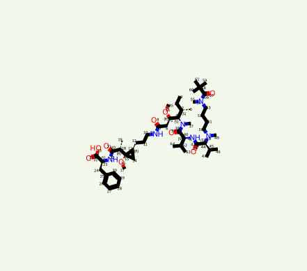 CC[C@H](C)[C@@H]([C@@H](CC(=O)NCCC[C@@H]1C[C@@]1(OC)[C@@H](C)C(=O)N[C@@H](Cc1ccccc1)C(=O)O)OC)N(C)C(=O)[C@@H](NC(=O)[C@H](C(C)C)N(C)CCCCN(C)C(=O)C(C)(C)C)C(C)C